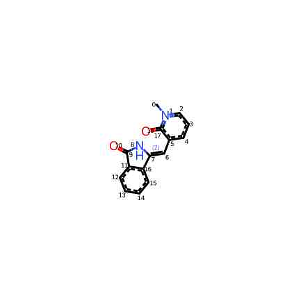 Cn1cccc(/C=C2\NC(=O)c3ccccc32)c1=O